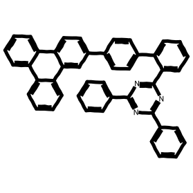 c1ccc(-c2nc(-c3ccccc3)nc(-c3ccccc3-c3ccc(-c4ccc5c6ccccc6c6ccccc6c5c4)cc3)n2)cc1